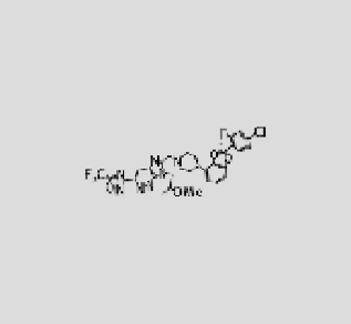 COC(C)Cn1c(CN2CCC(c3cccc4c3O[C@@](C)(c3ccc(Cl)cc3F)O4)CC2)nc2cc(-c3noc(C(F)(F)F)n3)nnc21